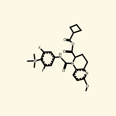 COc1ccc2c(n1)CCC(C(=O)OC(=O)C1CCC1)N2C(=O)Nc1cc(F)c([Si](C)(C)C)c(F)c1